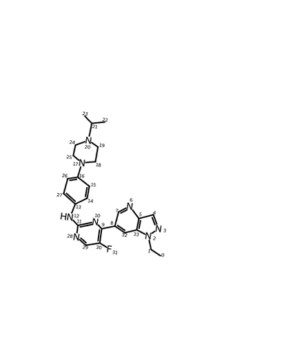 CCn1ncc2ncc(-c3nc(Nc4ccc(N5CCN(C(C)C)CC5)cc4)ncc3F)cc21